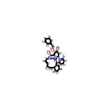 O=C1c2c(OCc3ccccc3)c(=O)ccn2N2CN1C/C=C/CCc1ccccc1[C@@H]2c1cccc(F)n1